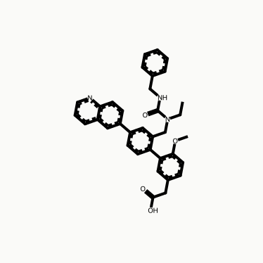 CCN(Cc1cc(-c2ccc3ncccc3c2)ccc1-c1cc(CC(=O)O)ccc1OC)C(=O)NCc1ccccc1